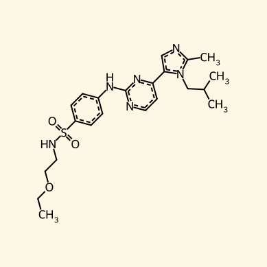 CCOCCNS(=O)(=O)c1ccc(Nc2nccc(-c3cnc(C)n3CC(C)C)n2)cc1